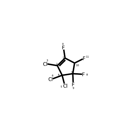 FC1=C(Cl)C(Cl)(Cl)C(F)(F)C1F